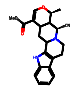 COC(=O)C1=CO[C@@H](C)C2C1CC1c3[nH]c4ccccc4c3CCN1[C@@H]2C#N